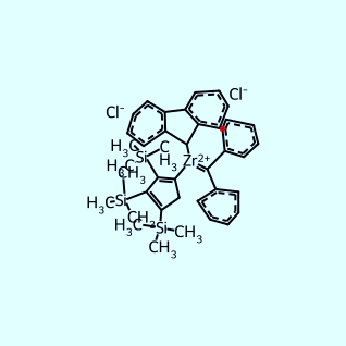 C[Si](C)(C)C1=C([Si](C)(C)C)C([Si](C)(C)C)=[C]([Zr+2](=[C](c2ccccc2)c2ccccc2)[CH]2c3ccccc3-c3ccccc32)C1.[Cl-].[Cl-]